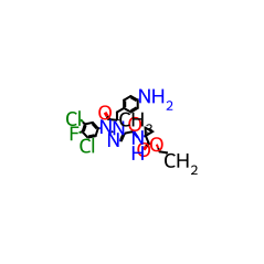 C=CCOC(=O)C1(NC(=O)c2cnc3n2[C@](C)(Cc2ccc(N)cc2)C(=O)N3c2cc(Cl)c(F)c(Cl)c2)CC1